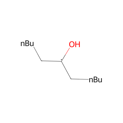 CCCCC[C](O)CCCCC